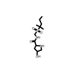 CCCC(C)(C)S(=O)(=O)CNC(=O)C1CC(O)CN1